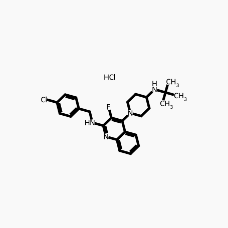 CC(C)(C)NC1CCN(c2c(F)c(NCc3ccc(Cl)cc3)nc3ccccc23)CC1.Cl